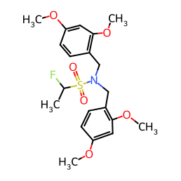 COc1ccc(CN(Cc2ccc(OC)cc2OC)S(=O)(=O)C(C)F)c(OC)c1